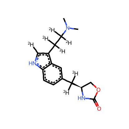 [2H]c1[nH]c2ccc(C([2H])([2H])[C@H]3COC(=O)N3)cc2c1C([2H])([2H])C([2H])([2H])N(C)C